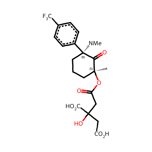 CN[C@@]1(c2ccc(C(F)(F)F)cc2)CCC[C@](C)(OC(=O)CC(O)(CC(=O)O)C(=O)O)C1=O